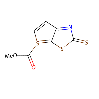 COC(=O)S1=C2SC(=S)N=C2C=C1